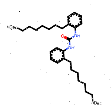 CCCCCCCCCCCCCCCCCc1ccccc1NC(=O)Nc1ccccc1CCCCCCCCCCCCCCCCC